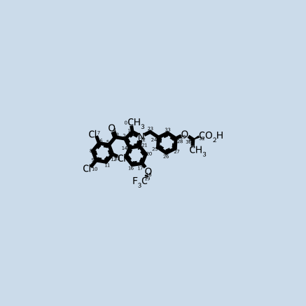 Cc1c(C(=O)c2c(Cl)cc(Cl)cc2Cl)c2ccc(OC(F)(F)F)cc2n1Cc1cccc(O[C@H](C)C(=O)O)c1